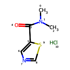 CN(C)C(=O)c1cncs1.Cl